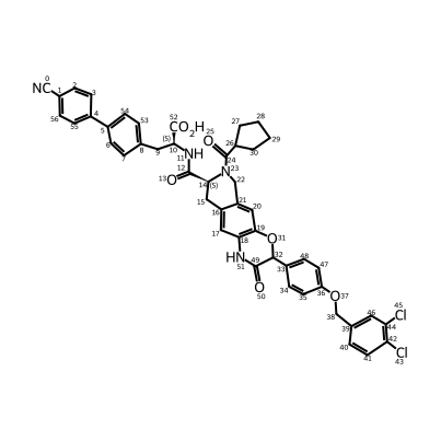 N#Cc1ccc(-c2ccc(C[C@H](NC(=O)[C@@H]3Cc4cc5c(cc4CN3C(=O)C3CCCC3)OC(c3ccc(OCc4ccc(Cl)c(Cl)c4)cc3)C(=O)N5)C(=O)O)cc2)cc1